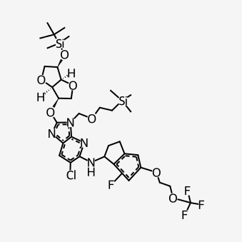 CC(C)(C)[Si](C)(C)O[C@@H]1CO[C@H]2[C@@H]1OC[C@H]2Oc1nc2cc(Cl)c(NC3CCc4cc(OCCOC(F)(F)F)cc(F)c43)nc2n1COCC[Si](C)(C)C